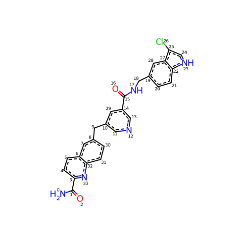 NC(=O)c1ccc2cc(Cc3cncc(C(=O)NCc4ccc5[nH]cc(Cl)c5c4)c3)ccc2n1